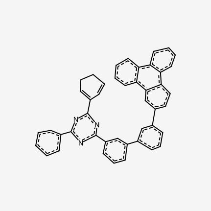 C1=CC(c2nc(-c3ccccc3)nc(-c3cccc(-c4cccc(-c5ccc6c7ccccc7c7ccccc7c6c5)c4)c3)n2)=CCC1